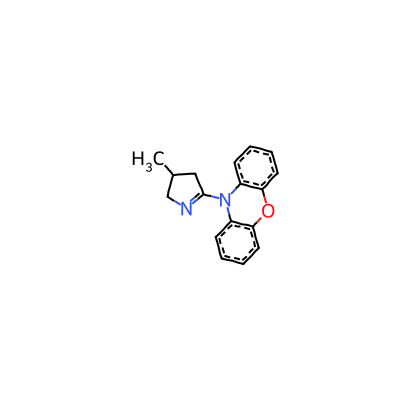 CC1CN=C(N2c3ccccc3Oc3ccccc32)C1